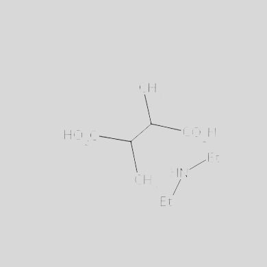 CC(C(=O)O)C(C)C(=O)O.CCNCC